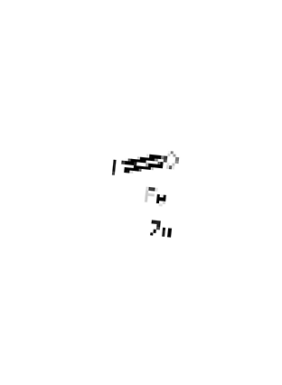 [Fe].[O]=[Ti].[Zn]